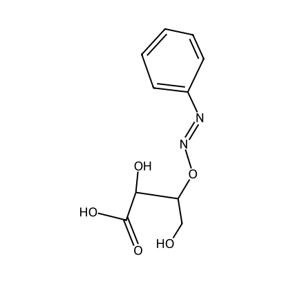 O=C(O)C(O)C(CO)O/N=N/c1ccccc1